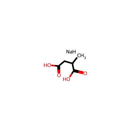 C[C](CC(=O)O)C(=O)O.[NaH]